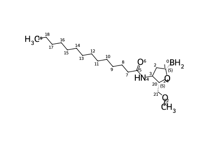 B[C@H]1CC(NC(=O)CCCCCCCCCCCCC)[C@@H](COC)O1